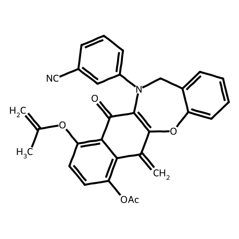 C=C(C)Oc1ccc(OC(C)=O)c2c1C(=O)C1=C(Oc3ccccc3CN1c1cccc(C#N)c1)C2=C